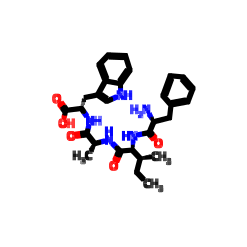 CC[C@H](C)[C@H](NC(=O)[C@@H](N)Cc1ccccc1)C(=O)N[C@@H](C)C(=O)N[C@@H](Cc1c[nH]c2ccccc12)C(=O)O